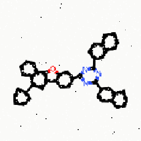 c1ccc(-c2cc3c4ccc(-c5nc(-c6ccc7ccccc7c6)nc(-c6ccc7ccccc7c6)n5)cc4oc3c3ccccc23)cc1